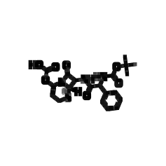 CC(C)(C)OC(=O)NC(C(=O)NC1C(=O)N2C(OC(=O)O)=CCS[C@@H]12)c1ccccc1